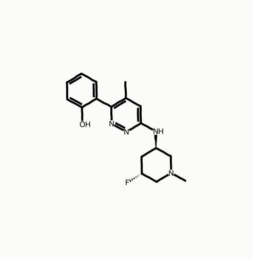 Cc1cc(N[C@@H]2C[C@@H](F)CN(C)C2)nnc1-c1ccccc1O